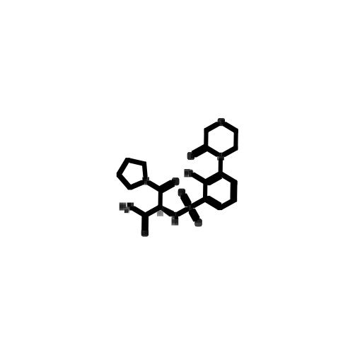 CCc1c(N2CCOCC2=O)cccc1S(=O)(=O)N[C@@H](C(N)=O)C(=O)N1CCCC1